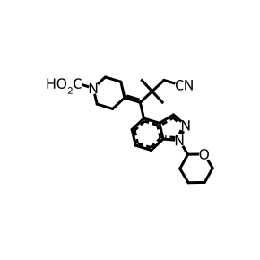 CC(C)(CC#N)C(=C1CCN(C(=O)O)CC1)c1cccc2c1cnn2C1CCCCO1